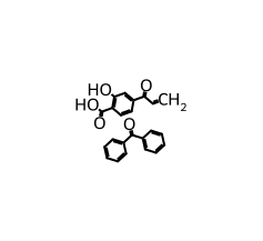 C=CC(=O)c1ccc(C(=O)O)c(O)c1.O=C(c1ccccc1)c1ccccc1